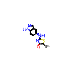 CC(C)C1SC(Nc2ccc3[nH]ncc3c2)=NC1=O